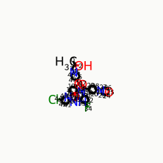 CC(O)CN1CCC(Oc2ccccc2N(C(=O)c2ccc(N3CCOCC3)cc2)c2ccc(F)cc2C(=O)Nc2ccc(Cl)cn2)CC1